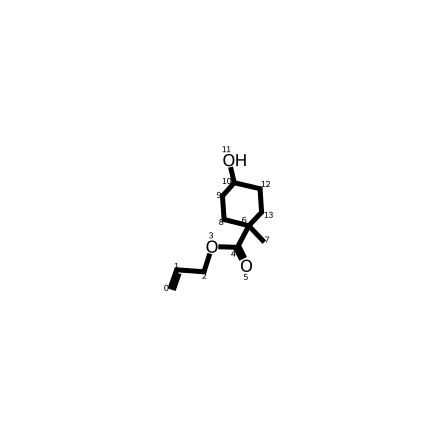 C=CCOC(=O)C1(C)CCC(O)CC1